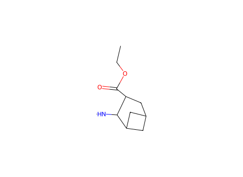 CCOC(=O)C1CC2CC(C2)C1[NH]